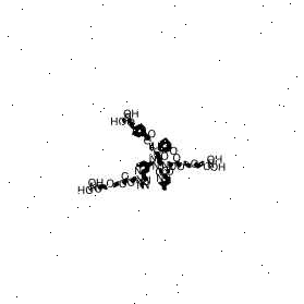 COc1ccccc1Oc1c(OCCOC(=O)c2ccc(CON(O)O)cc2)nc(-c2ccnc(-c3nnnn3COC(=O)OCCOCCON(O)O)c2)nc1N(COC(=O)OCCOCCON(O)O)S(=O)(=O)c1ccc(C)cn1